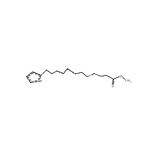 COC(=O)CCCCCCCCCCCc1ccc[nH]1